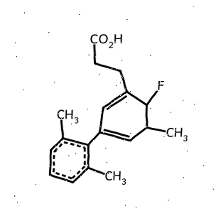 Cc1cccc(C)c1C1=CC(C)C(F)C(CCC(=O)O)=C1